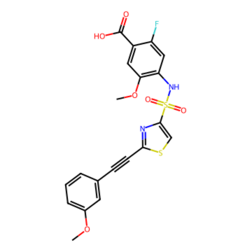 COc1cccc(C#Cc2nc(S(=O)(=O)Nc3cc(F)c(C(=O)O)cc3OC)cs2)c1